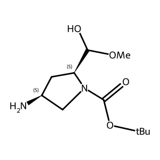 COC(O)[C@@H]1C[C@H](N)CN1C(=O)OC(C)(C)C